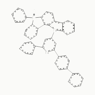 O=P1(c2ccccc2)c2ccccc2-c2c1ccc1c3ccccc3n(-c3cc(-c4ccccc4)nc(-c4ccc(-c5ccccc5)cc4)c3)c21